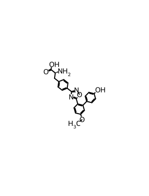 COc1ccc(-c2nc(-c3ccc(C[C@H](N)C(=O)O)cc3)no2)c(-c2ccc(O)cc2)c1